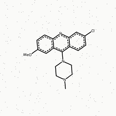 COc1ccc2nc3cc(Cl)ccc3c(N3CCN(C)CC3)c2c1